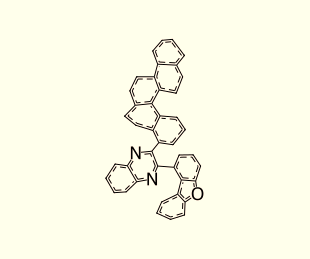 c1ccc2c(c1)ccc1c2ccc2ccc3c(-c4nc5ccccc5nc4-c4cccc5oc6ccccc6c45)cccc3c21